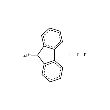 [I-].[I-].[I-].[Zr+3][CH]1c2ccccc2-c2ccccc21